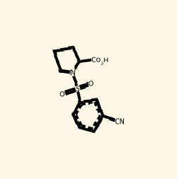 N#Cc1cccc(S(=O)(=O)N2CCC[C]2C(=O)O)c1